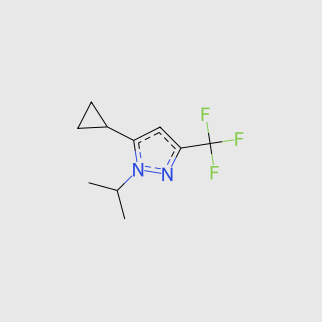 CC(C)n1nc(C(F)(F)F)cc1C1CC1